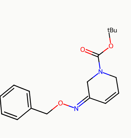 CC(C)(C)OC(=O)N1CC=C/C(=N/OCc2ccccc2)C1